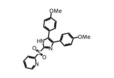 COc1ccc(-c2nc(S(=O)(=O)c3ccccn3)[nH]c2-c2ccc(OC)cc2)cc1